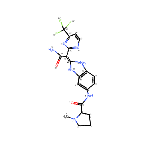 CN1CCCC1C(=O)Nc1ccc2c(c1)NC(=C(C(N)=O)c1nccc(C(F)(F)F)n1)N2